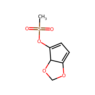 CS(=O)(=O)OC1=CC=C2OCOC21